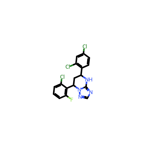 Fc1cccc(Cl)c1C1CC(c2ccc(Cl)cc2Cl)Nc2ncnn21